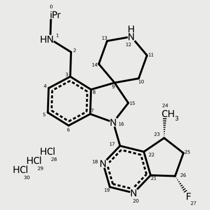 CC(C)NCc1cccc2c1C1(CCNCC1)CN2c1ncnc2c1[C@H](C)C[C@@H]2F.Cl.Cl.Cl